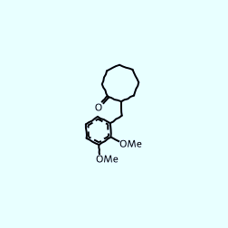 COc1cccc(CC2CCCCCCC2=O)c1OC